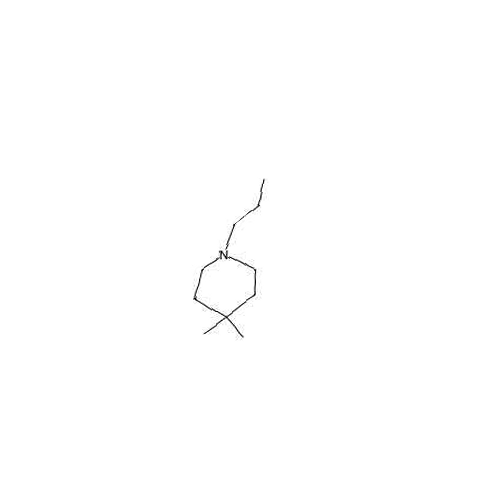 CCCN1CCC(C)(C)CC1